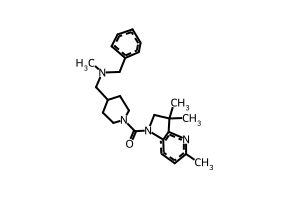 Cc1ccc2c(n1)C(C)(C)CN2C(=O)N1CCC(CN(C)Cc2ccccc2)CC1